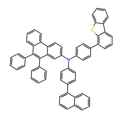 c1ccc(-c2c(-c3ccccc3)c3cc(N(c4ccc(-c5cccc6ccccc56)cc4)c4ccc(-c5cccc6c5sc5ccccc56)cc4)ccc3c3ccccc23)cc1